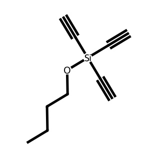 C#C[Si](C#C)(C#C)OCCCC